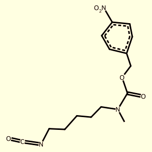 CN(CCCCCN=C=O)C(=O)OCc1ccc([N+](=O)[O-])cc1